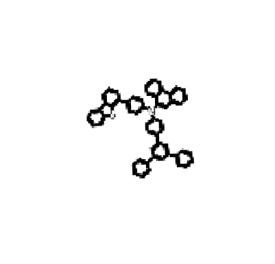 c1ccc(-c2cc(-c3ccccc3)cc(-c3ccc(N(c4ccc(-c5cccc6c5sc5ccccc56)cc4)c4cc5ccccc5c5ccccc45)cc3)c2)cc1